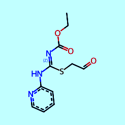 CCOC(=O)/N=C(/Nc1ccccn1)SCC=O